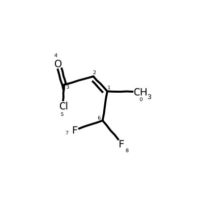 CC(=CC(=O)Cl)C(F)F